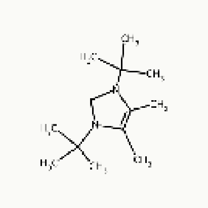 CC1=C(C)N(C(C)(C)C)CN1C(C)(C)C